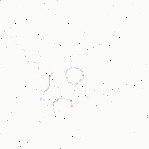 Br.CCCCCCCCCCCCCCCCOC(=O)C1=C(C)NC(C)=C(C(=O)OCCCCCCCCCCCCCCCC)C1c1ccc[n+](CC(=O)OCC)c1.[Br-]